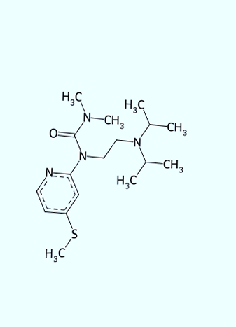 CSc1ccnc(N(CCN(C(C)C)C(C)C)C(=O)N(C)C)c1